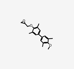 COc1c(C)cc(-c2cc(C)c(OCC3CO3)c(C)c2)cc1C